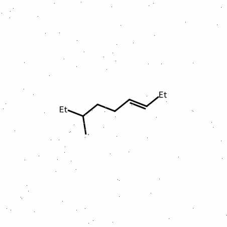 [CH2]C(CC)CCC=CCC